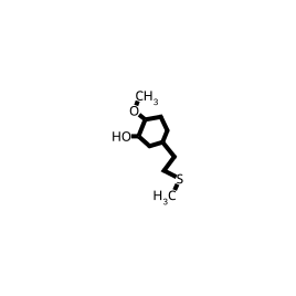 COC1CCC(CCSC)CC1O